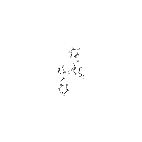 C1=CC(CCc2ccccc2)=[C]([Zr+2][C]2=C(CCc3ccccc3)C=CC2)C1.[F-].[F-]